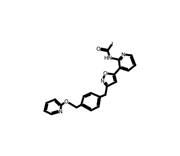 O=C(I)Nc1ncccc1-c1cc(Cc2ccc(COc3ccccn3)cc2)no1